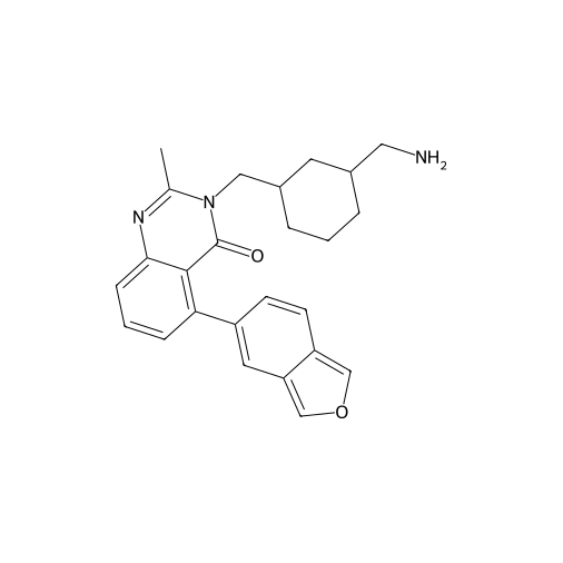 Cc1nc2cccc(-c3ccc4cocc4c3)c2c(=O)n1CC1CCCC(CN)C1